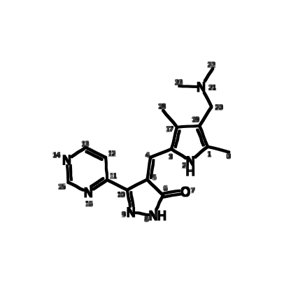 Cc1[nH]c(C=C2C(=O)NN=C2c2ccncn2)c(C)c1CN(C)C